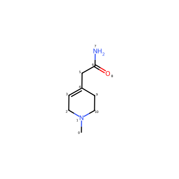 CN1CC=C(CC(N)=O)CC1